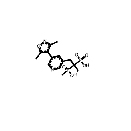 Cc1noc(C)c1-c1cncc(CC(F)(P(C)(=O)O)P(=O)(O)O)c1